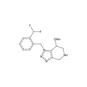 COC1CNCc2nnn(Cc3ccccc3C(F)F)c21